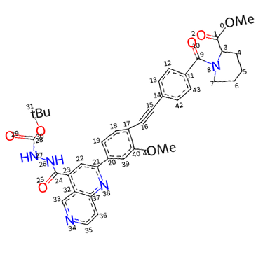 COC(=O)C1CCCCN1C(=O)c1ccc(C#Cc2ccc(-c3cc(C(=O)NNC(=O)OC(C)(C)C)c4cnccc4n3)cc2OC)cc1